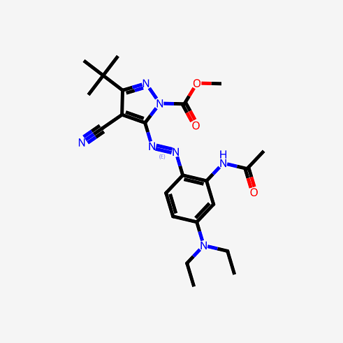 CCN(CC)c1ccc(/N=N/c2c(C#N)c(C(C)(C)C)nn2C(=O)OC)c(NC(C)=O)c1